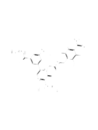 CC[C@@H](C)NC(=O)c1cc(N)cc(-c2cnc(NC(C)C)c(=O)n2CC(=O)NCc2c(F)c(O)c(C(=N)N)c(F)c2F)c1.Cl.Cl